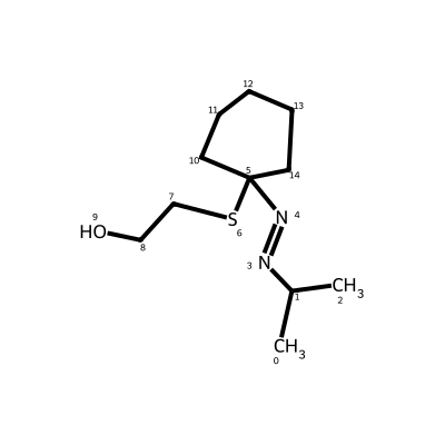 CC(C)/N=N/C1(SCCO)CCCCC1